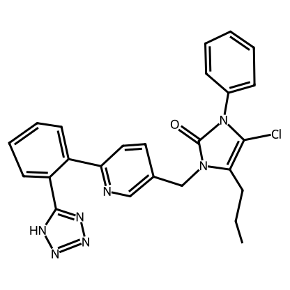 CCCc1c(Cl)n(-c2ccccc2)c(=O)n1Cc1ccc(-c2ccccc2-c2nnn[nH]2)nc1